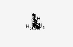 CC(Oc1cc(-c2cccc(C(=O)NCCN3CCCC3)c2)cnc1N)c1c(Cl)ccc(F)c1Cl